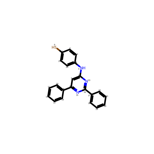 Sc1ccc(Nc2cc(-c3ccccc3)nc(-c3ccccc3)n2)cc1